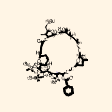 C=C1CC2CCC(OC(=O)c3ccccc3)/C=C/[C@H](O[Si](C)(C)C(C)(C)C)[C@@H]3O[C@H]4CC[C@H](CC(=O)CC5[C@H](C[C@@H](OC(C)=O)C(=C)[C@H](C)C[C@H](C)CC[C@@H]1O2)O[C@H](C[C@H](C)CC)[C@@H]5C)O[C@@H]4[C@H](O[Si](C)(C)C(C)(C)C)[C@@H]3O[Si](C)(C)C(C)(C)C